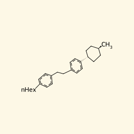 CCCCCCc1ccc(CCc2ccc([C@H]3CC[C@H](C)CC3)cc2)cc1